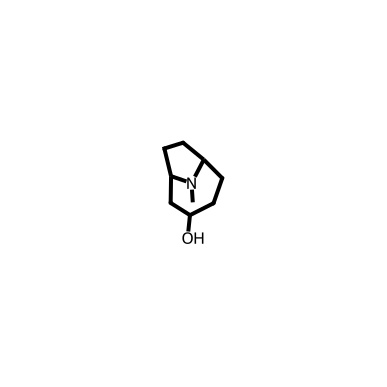 CN1C2CCC(O)CC1CC2